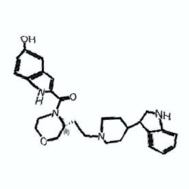 O=C(c1cc2cc(O)ccc2[nH]1)N1CCOC[C@H]1CCN1CCC(C2CNc3ccccc32)CC1